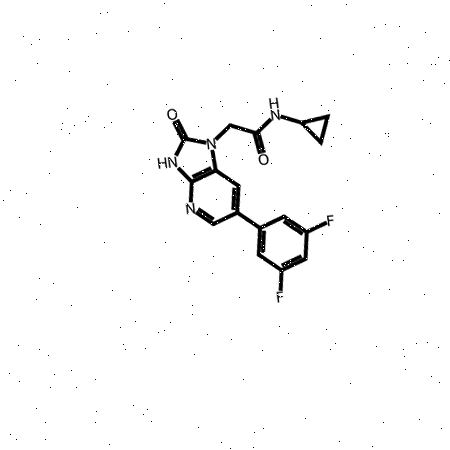 O=C(Cn1c(=O)[nH]c2ncc(-c3cc(F)cc(F)c3)cc21)NC1CC1